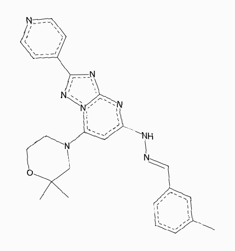 Cc1cccc(C=NNc2cc(N3CCOC(C)(C)C3)n3nc(-c4ccncc4)nc3n2)c1